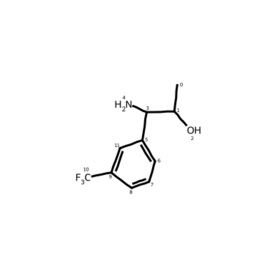 CC(O)C(N)c1cccc(C(F)(F)F)c1